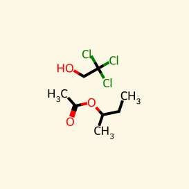 CCC(C)OC(C)=O.OCC(Cl)(Cl)Cl